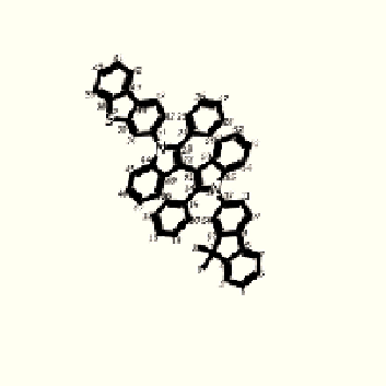 CC1(C)c2ccccc2-c2ccc(-n3c(-c4ccccc4)c(-c4c(-c5ccccc5)n(-c5ccc6c(c5)sc5ccccc56)c5ccccc45)c4ccccc43)cc21